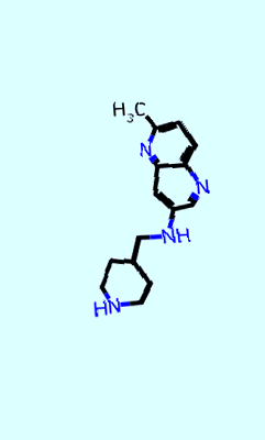 Cc1ccc2ncc(NCC3CCNCC3)cc2n1